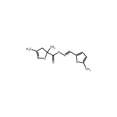 CC1=NOC(C)(C(=O)O/N=C/c2ccc(C)o2)C1